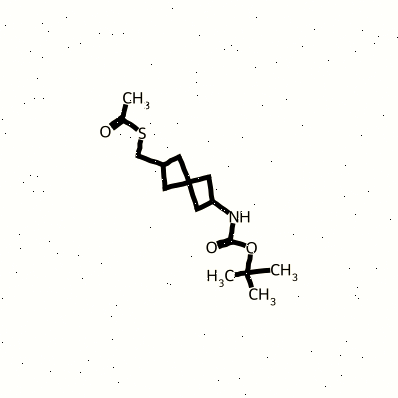 CC(=O)SCC1CC2(C1)CC(NC(=O)OC(C)(C)C)C2